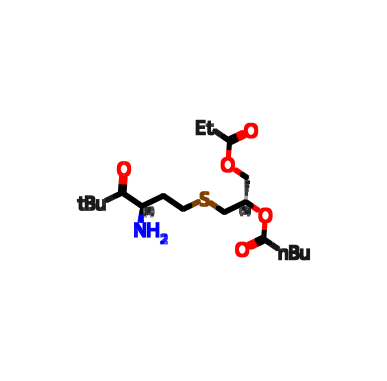 CCCCC(=O)O[C@@H](COC(=O)CC)CSCC[C@@H](N)C(=O)C(C)(C)C